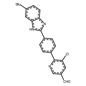 CC(C)(C)c1ccc2nc(-c3ccc(-c4ncc(C=O)cc4Cl)cc3)[nH]c2c1